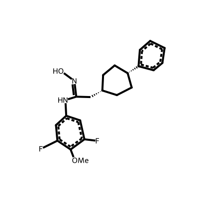 COc1c(F)cc(N/C(C[C@H]2CC[C@@H](c3ccccc3)CC2)=N\O)cc1F